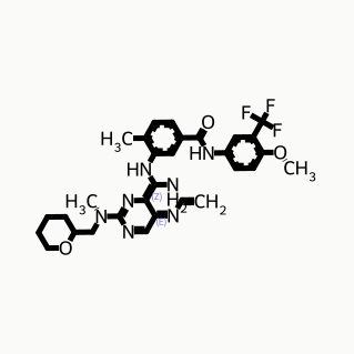 C=C/N=C1/C=NC(N(C)CC2CCCCO2)=N/C1=C(/N)Nc1cc(C(=O)Nc2ccc(OC)c(C(F)(F)F)c2)ccc1C